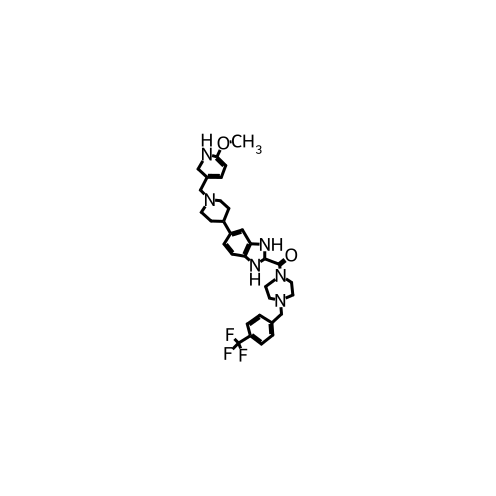 COC1=CC=C(CN2CCC(c3ccc4c(c3)NC(C(=O)N3CCN(Cc5ccc(C(F)(F)F)cc5)CC3)N4)CC2)CN1